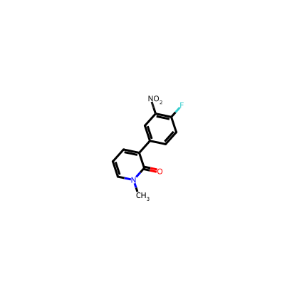 Cn1cccc(-c2ccc(F)c([N+](=O)[O-])c2)c1=O